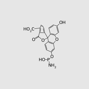 NP(O)Oc1ccc2c(c1)Oc1cc(O)ccc1C21OC(=O)c2c(C(=O)O)cccc21